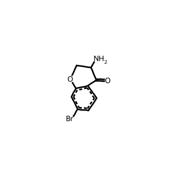 NC1COc2cc(Br)ccc2C1=O